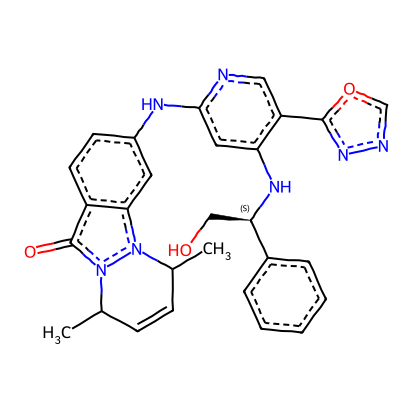 CC1C=CC(C)n2c3cc(Nc4cc(N[C@H](CO)c5ccccc5)c(-c5nnco5)cn4)ccc3c(=O)n21